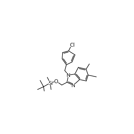 Cc1cc2nc(CO[Si](C)(C)C(C)(C)C)n(Cc3ccc(Cl)cc3)c2cc1C